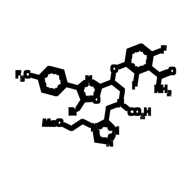 COCCn1cnnc1CN(CC(Oc1ccc(F)c(C(N)=O)c1F)c1nc(-c2ccc(C(F)(F)F)cc2)c(Br)o1)C(=O)O